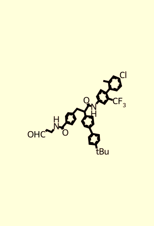 Cc1cc(Cl)ccc1-c1ccc(NC(=O)C(Cc2ccc(C(=O)NCCC=O)cc2)c2ccc(-c3ccc(C(C)(C)C)cc3)cc2)cc1C(F)(F)F